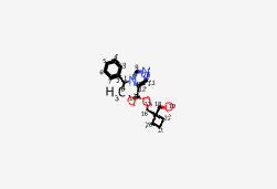 CC(c1ccccc1)n1cncc1C(=O)OCC1(C=O)CCC1